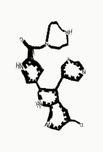 O=C(c1cc(-c2[nH]c3ncc(Cl)cc3c2-c2cncnc2)c[nH]1)N1CCNCC1